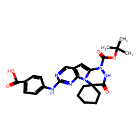 CC(C)(C)OC(=O)N1NC(=O)C2(CCCCC2)n2c1cc1cnc(Nc3ccc(C(=O)O)cc3)nc12